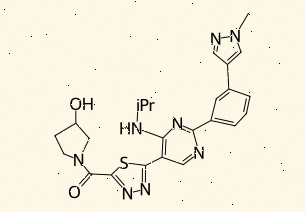 CC(C)Nc1nc(-c2cccc(-c3cnn(C)c3)c2)ncc1-c1nnc(C(=O)N2CCC(O)C2)s1